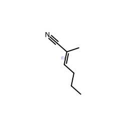 CCC/C=C(\C)C#N